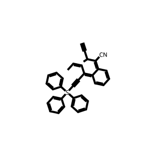 C#CC(C)/C(C#N)=c1/cccc/c1=C(C#CS(c1ccccc1)(c1ccccc1)c1ccccc1)/C=C\C